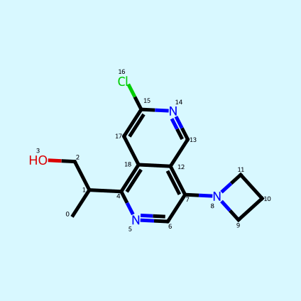 CC(CO)c1ncc(N2CCC2)c2cnc(Cl)cc12